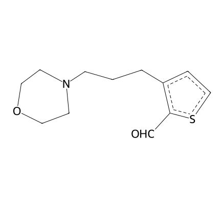 O=Cc1sccc1CCCN1CCOCC1